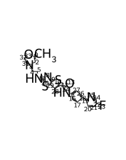 CC1CN(CCNc2nc3sc(C(=O)Nc4ccc(-c5ccc(F)cn5)cc4)cc3s2)CCO1